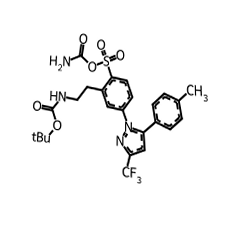 Cc1ccc(-c2cc(C(F)(F)F)nn2-c2ccc(S(=O)(=O)OC(N)=O)c(CCNC(=O)OC(C)(C)C)c2)cc1